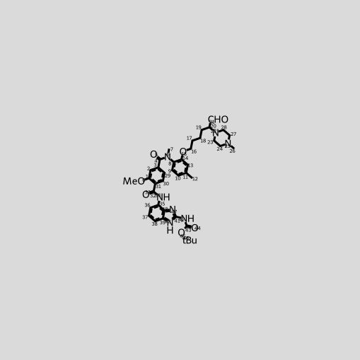 COc1cc(C(=O)N(C)c2ccc(C)cc2OCCCCC(C=O)N2CCN(C)CC2)ccc1C(=O)Nc1cccc2[nH]c(NC(=O)OC(C)(C)C)nc12